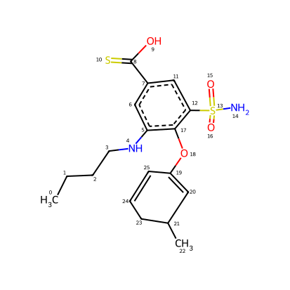 CCCCNc1cc(C(O)=S)cc(S(N)(=O)=O)c1OC1=CC(C)CC=C1